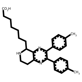 Cc1ccc(-c2nc3c(nc2-c2ccc(C)cc2)C(CCCCCCC(=O)O)NCC3)cc1